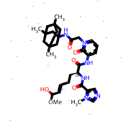 COC(O)/C=C/CC[C@H](NC(=O)c1cncn1C)C(=O)Nc1cccn(CC(=O)NC23CC4(C)CC(C)(CC(C)(C4)C2)C3)c1=O